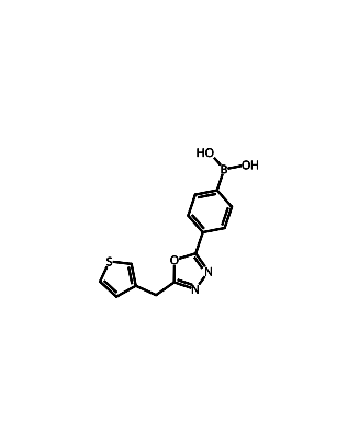 OB(O)c1ccc(-c2nnc(Cc3ccsc3)o2)cc1